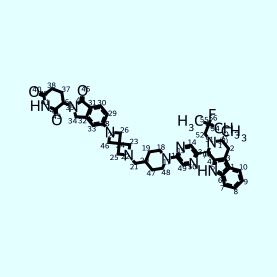 C[C@@H]1Cc2c([nH]c3ccccc23)[C@@H](c2cnc(N3CCC(CN4CC5(C4)CN(c4ccc6c(c4)CN(C4CCC(=O)NC4=O)C6=O)C5)CC3)cn2)N1CC(C)(C)F